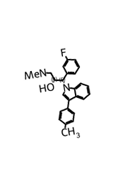 CNC[C@@H](O)[C@H](c1cccc(F)c1)n1cc(-c2ccc(C)cc2)c2ccccc21